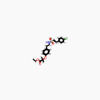 CCOC(=O)C(C)(C)Oc1ccc(CCNS(=O)(=O)C=Cc2ccc(Cl)cc2)cc1